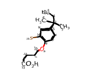 CC(C)(C)CC(C)(C)c1ccc(OCCCC(=O)O)c([S])c1